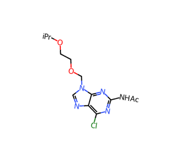 CC(=O)Nc1nc(Cl)c2ncn(COCCOC(C)C)c2n1